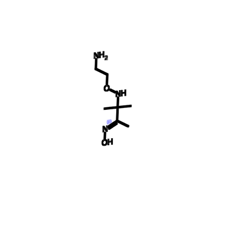 C/C(=N\O)C(C)(C)NOCCN